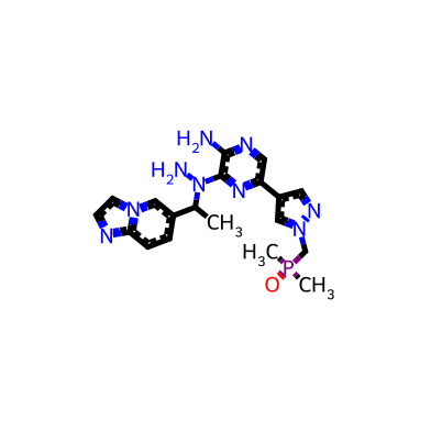 CC(c1ccc2nccn2c1)N(N)c1nc(-c2cnn(CP(C)(C)=O)c2)cnc1N